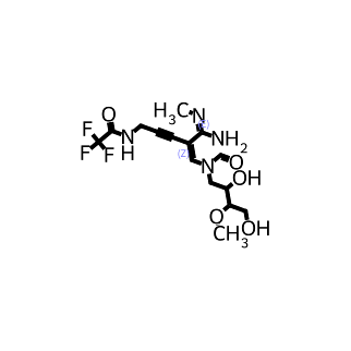 C/N=C(N)\C(C#CCNC(=O)C(F)(F)F)=C/N(C=O)CC(O)C(CO)OC